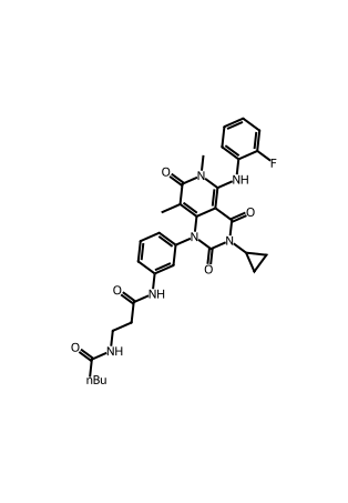 CCCCC(=O)NCCC(=O)Nc1cccc(-n2c(=O)n(C3CC3)c(=O)c3c(Nc4ccccc4F)n(C)c(=O)c(C)c32)c1